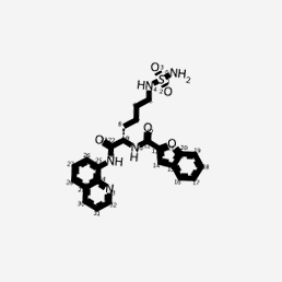 NS(=O)(=O)NCCCC[C@H](NC(=O)c1cc2ccccc2o1)C(=O)Nc1cccc2cccnc12